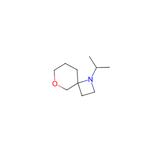 CC(C)N1CCC12CCCOC2